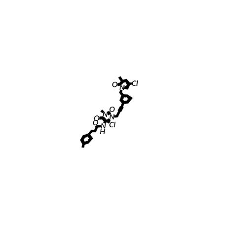 Cc1ccc(CCC(=O)Nc2c(Cl)n(CC#Cc3cccc(Cn4cc(Cl)cc(C)c4=O)c3)c(=O)n(C)c2=O)cc1